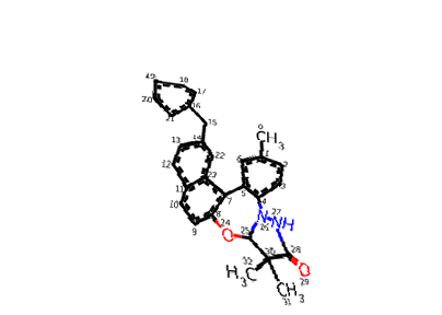 Cc1ccc2c(c1)-c1c(ccc3ccc(Cc4ccccc4)cc13)OC1N2NC(=O)C1(C)C